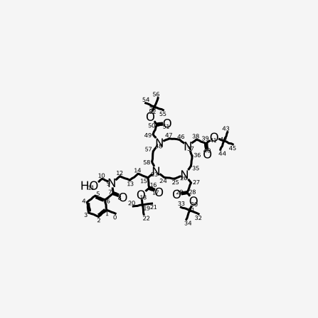 Cc1ccccc1C(=O)N(CO)CCCC(C(=O)OC(C)(C)C)N1CCN(CC(=O)OC(C)(C)C)CCN(CC(=O)OC(C)(C)C)CCN(CC(=O)OC(C)(C)C)CC1